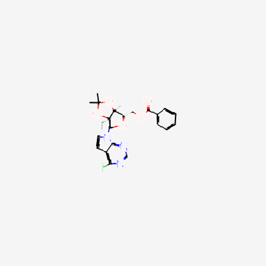 CC1(C)O[C@H]2C(n3ccc4c(Cl)ncnc43)O[C@H](COC(=O)c3ccccc3)[C@@]2(C)O1